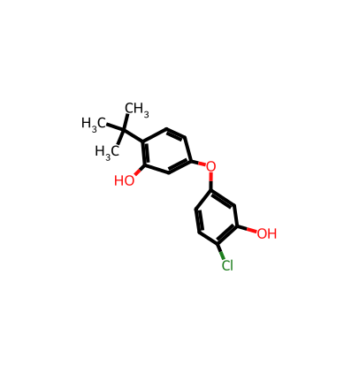 CC(C)(C)c1ccc(Oc2ccc(Cl)c(O)c2)cc1O